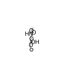 CC(C)(C)OC(=O)NCCOC[C@@H](O)COCc1ccccc1